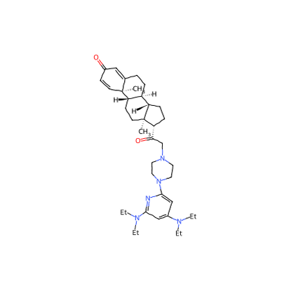 CCN(CC)c1cc(N(CC)CC)nc(N2CCN(CC(=O)[C@H]3CC[C@H]4[C@@H]5CCC6=CC(=O)C=C[C@]6(C)[C@H]5CC[C@]34C)CC2)c1